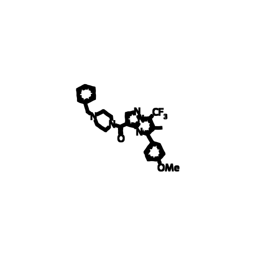 COc1ccc(-c2nc3c(C(=O)N4CCN(Cc5ccccc5)CC4)cnn3c(C(F)(F)F)c2C)cc1